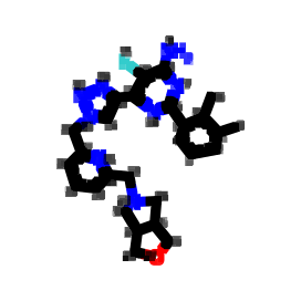 Cc1cccc(-c2nc(N)c(F)c(-c3cn(Cc4cccc(CN5CC6COCC6C5)n4)nn3)n2)c1C